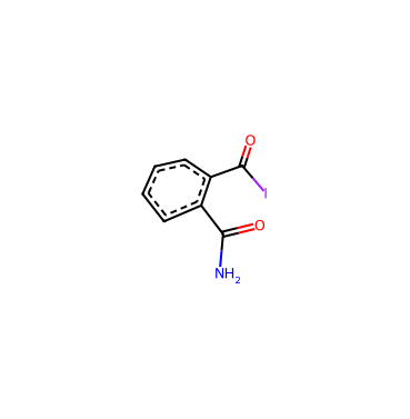 NC(=O)c1ccccc1C(=O)I